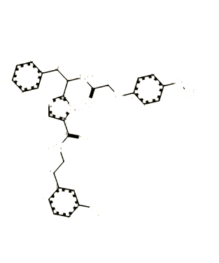 O=C(COc1ccc(OC(F)(F)F)cc1)NC(Cc1ccccc1)c1nc(C(=O)NCCc2cccc(Cl)c2)cs1